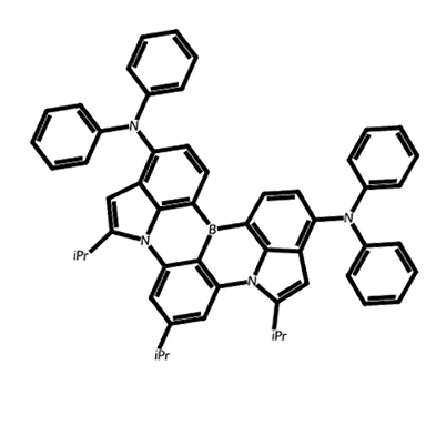 CC(C)c1cc2c3c(c1)-n1c(C(C)C)cc4c(N(c5ccccc5)c5ccccc5)ccc(c41)B3c1ccc(N(c3ccccc3)c3ccccc3)c3cc(C(C)C)n-2c13